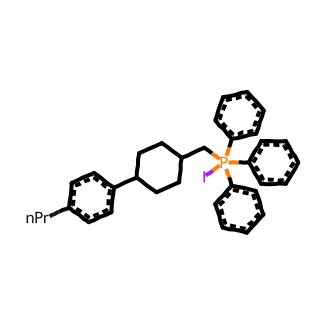 CCCc1ccc(C2CCC(CP(I)(c3ccccc3)(c3ccccc3)c3ccccc3)CC2)cc1